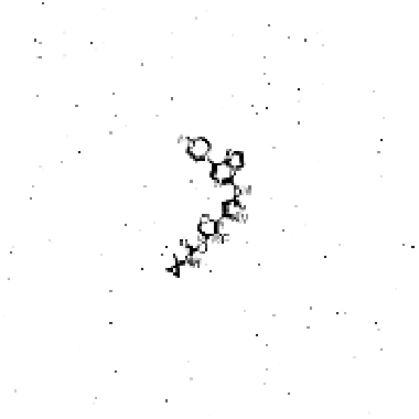 CC1(NC(=O)O[C@H]2CO[C@@H](c3cc(Nc4ncc(N5CCNCC5)c5nccn45)n[nH]3)[C@H]2F)CC1